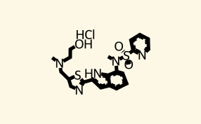 CN(CCO)CC1CN=C(c2cc3cccc(N(C)S(=O)(=O)c4ccccn4)c3[nH]2)S1.Cl